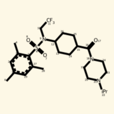 Cc1cc(C)c(S(=O)(=O)N(CC(F)(F)F)C2CCC(C(=O)N3CCN(C(C)C)CC3)CC2)c(C)c1